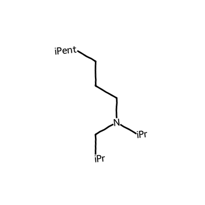 CCCC(C)CCCN(CC(C)C)C(C)C